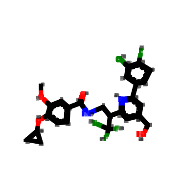 COc1cc(C(=O)NCC(c2cc(CO)cc(-c3ccc(F)c(Cl)c3)n2)C(F)(F)F)ccc1OC1CC1